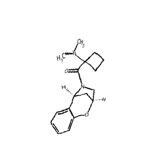 CN(C)C1(C(=O)N2C[C@@H]3C[C@H]2c2ccccc2O3)CCC1